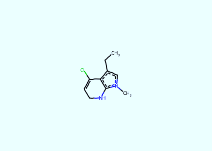 CCc1cn(C)c2c1C(Cl)=CCN2